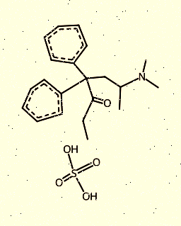 CCC(=O)C(CC(C)N(C)C)(c1ccccc1)c1ccccc1.O=S(=O)(O)O